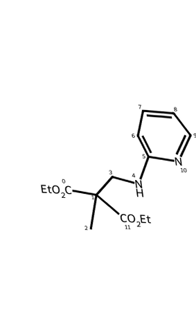 CCOC(=O)C(C)(CNc1ccccn1)C(=O)OCC